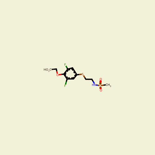 CS(=O)(=O)NCCSc1cc(F)c(OCC(=O)O)c(F)c1